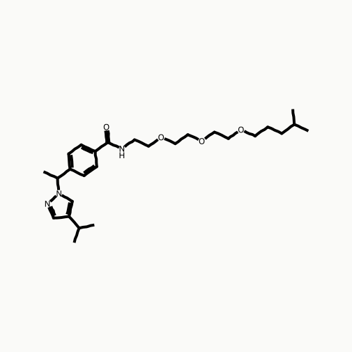 CC(C)CCCOCCOCCOCCNC(=O)c1ccc(C(C)n2cc(C(C)C)cn2)cc1